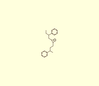 CCC(CC1OC1CCC(C)c1ccccc1)c1ccccc1